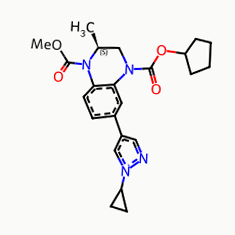 COC(=O)N1c2ccc(-c3cnn(C4CC4)c3)cc2N(C(=O)OC2CCCC2)C[C@@H]1C